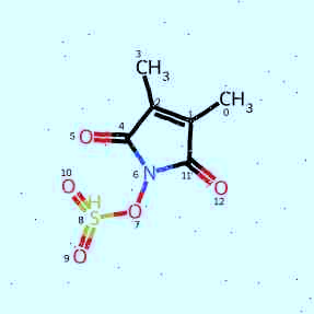 CC1=C(C)C(=O)N(O[SH](=O)=O)C1=O